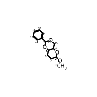 COC1CCC2OC(c3ccccc3)OCC2O1